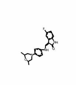 CC1CN(c2ccc(NC=C3C(=O)Nc4ccc(F)cc43)cc2)CC(C)O1